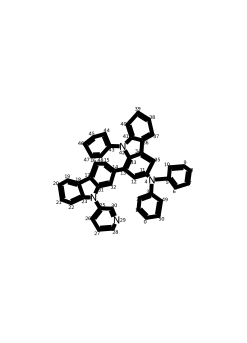 c1ccc(N(c2ccccc2)c2cc(-c3ccc4c5ccccc5n(-c5cccnc5)c4c3)c3c(c2)c2ccccc2n3-c2ccccc2)cc1